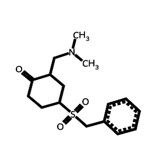 CN(C)CC1CC(S(=O)(=O)Cc2ccccc2)CCC1=O